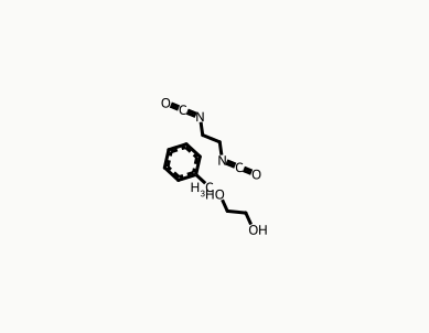 Cc1ccccc1.O=C=NCCN=C=O.OCCO